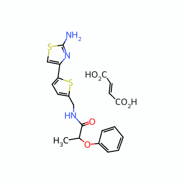 CC(Oc1ccccc1)C(=O)NCc1ccc(-c2csc(N)n2)s1.O=C(O)C=CC(=O)O